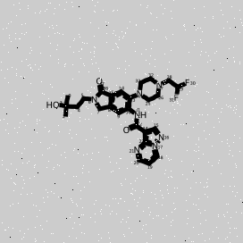 CC(C)(O)CCN1Cc2cc(NC(=O)c3cnn4cccnc34)c(N3CCN(CC(F)F)CC3)cc2C1=O